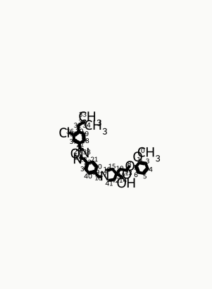 COc1ccccc1OCCC1(C(=O)O)CCN(Cc2ccc(-c3noc(-c4ccc(CC(C)C)c(Cl)c4)n3)cc2)CC1